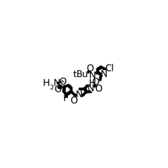 CC(C)(C)C(=O)Nc1ccc(Cl)nc1COC(=O)N1CC2=C(C1)CN(C(=O)c1ccc(S(N)(=O)=O)cc1F)C2